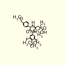 COCc1ccc([C@@H](NC(=O)CC(C)(C)C(=O)O)C(=O)Nc2cc(F)c(S(C)(C)C)c(F)c2)cc1